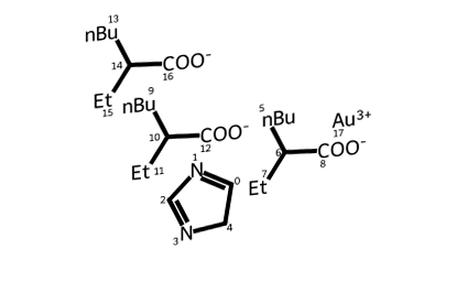 C1=NC=NC1.CCCCC(CC)C(=O)[O-].CCCCC(CC)C(=O)[O-].CCCCC(CC)C(=O)[O-].[Au+3]